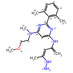 C=C(/C=C(/C)NN)Nc1cc(N(C)CCOC)nc(-c2c(C)cccc2C)n1